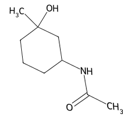 CC(=O)NC1CCCC(C)(O)C1